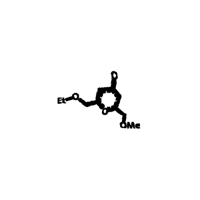 CCOCc1cc(=O)cc(COC)o1